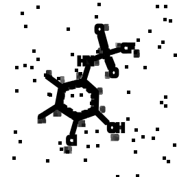 Cc1c(NS(=O)(=O)C(F)(F)F)cc(O)c(Cl)c1C